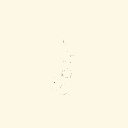 CC1=CC[C@@H]2[C@@H](C1)c1c(O)cc(C(C)(C)C(=O)OCCCBr)cc1OC2(C)C